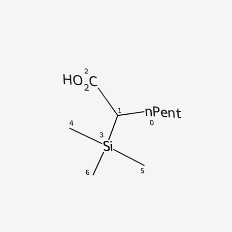 CCCCCC(C(=O)O)[Si](C)(C)C